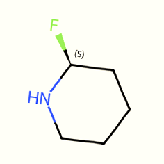 F[C@H]1CCCCN1